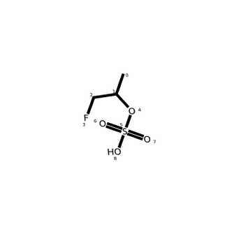 CC(CF)OS(=O)(=O)O